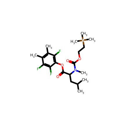 Cc1c(C)c(F)c(OC(=O)C(CC(C)C)N(C)C(=O)OCCS(C)(C)C)c(F)c1F